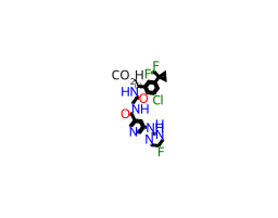 O=C(O)C[C@H](NC(=O)CNC(=O)c1cncc(NC2=NCC(F)CN2)c1)c1cc(Cl)cc(C2(C(F)F)CC2)c1